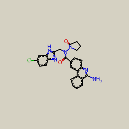 Nc1nc2ccc(C(=O)N(Cc3nc4ccc(Cl)cc4[nH]3)N3CCCC3=O)cc2c2ccccc12